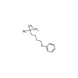 CC(C)(C#N)CCCCOc1[c]cc[c]c1